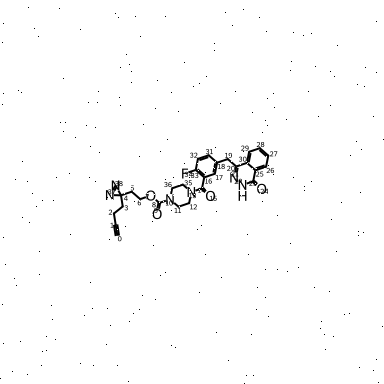 C#CCCC1(CCOC(=O)N2CCN(C(=O)c3cc(Cc4n[nH]c(=O)c5ccccc45)ccc3F)CC2)N=N1